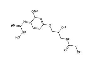 COC1C=C(OCC(O)CNC(=O)CO)C=CC1=NC(=N)NO